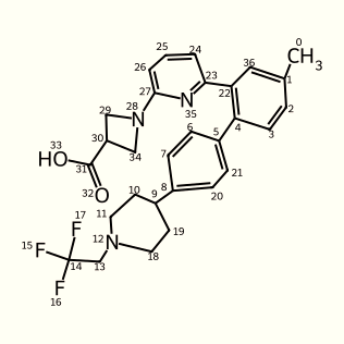 Cc1ccc(-c2ccc(C3CCN(CC(F)(F)F)CC3)cc2)c(-c2cccc(N3CC(C(=O)O)C3)n2)c1